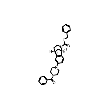 O=C(c1ccccc1)N1CCN(c2ccc3c(c2)[C@@H]2CCN(C(=O)OCc4ccccc4)[C@@H]3C2)CC1